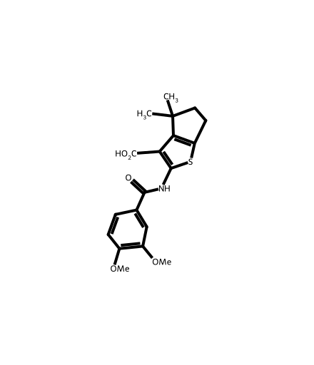 COc1ccc(C(=O)Nc2sc3c(c2C(=O)O)C(C)(C)CC3)cc1OC